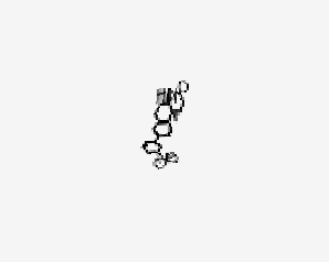 C[C@]12CCC(=O)N[C@@H]1CCc1cc(-c3cccc([N+](=O)[O-])c3)ccc12